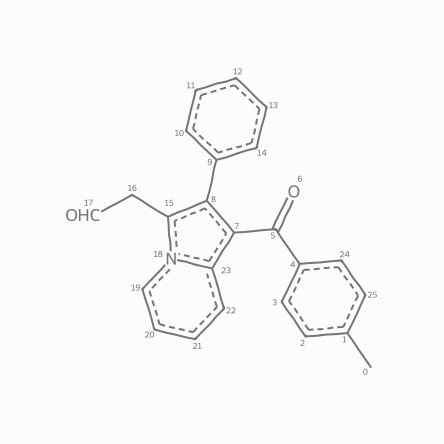 Cc1ccc(C(=O)c2c(-c3ccccc3)c(CC=O)n3ccccc23)cc1